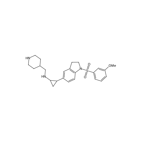 COc1cccc(S(=O)(=O)N2CCc3cc(C4CC4NCC4CCNCC4)ccc32)c1